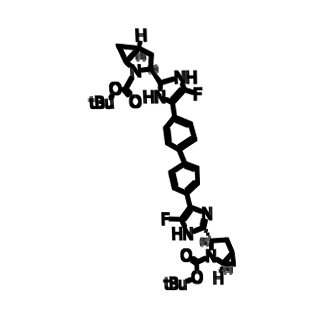 CC(C)(C)OC(=O)N1C2C[C@@H]2C[C@H]1C1NC(F)=C(c2ccc(-c3ccc(-c4nc([C@@H]5CC6C[C@H]6N5C(=O)OC(C)(C)C)[nH]c4F)cc3)cc2)N1